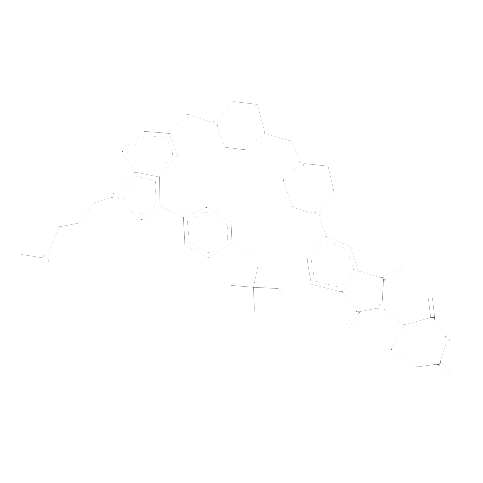 CNCCCn1cc(-c2ccc(OC(F)(F)F)cc2)c2cc(CN3CCC(CN4CCN(c5ccc6c(c5)C(=O)N(C5CCC(=O)NC5=O)C6=O)CC4)CC3)ccc21